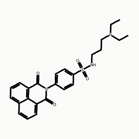 CCN(CC)CCCNS(=O)(=O)c1ccc(N2C(=O)c3cccc4cccc(c34)C2=O)cc1